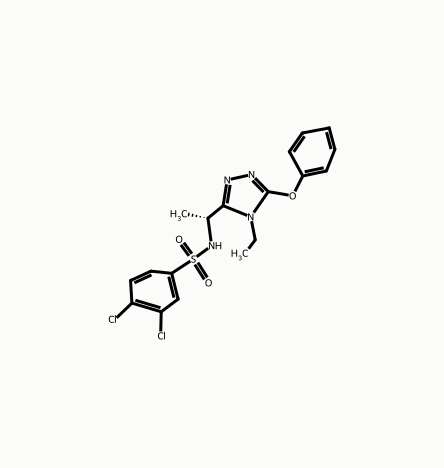 CCn1c(Oc2ccccc2)nnc1[C@@H](C)NS(=O)(=O)c1ccc(Cl)c(Cl)c1